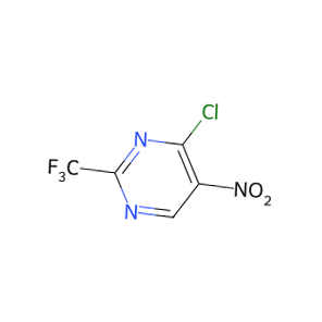 O=[N+]([O-])c1cnc(C(F)(F)F)nc1Cl